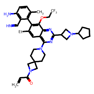 C=CC(=O)N1CC2(CCN(c3nc(C4CN(C5CCCC5)C4)nc4c(OCC(F)(F)F)c(-c5c(C)ccc(N)c5C=N)c(CC)cc34)CC2)C1